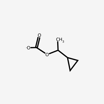 CC(OC([O])=O)C1CC1